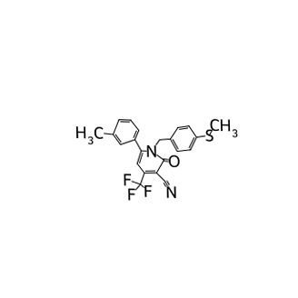 CSc1ccc(Cn2c(-c3cccc(C)c3)cc(C(F)(F)F)c(C#N)c2=O)cc1